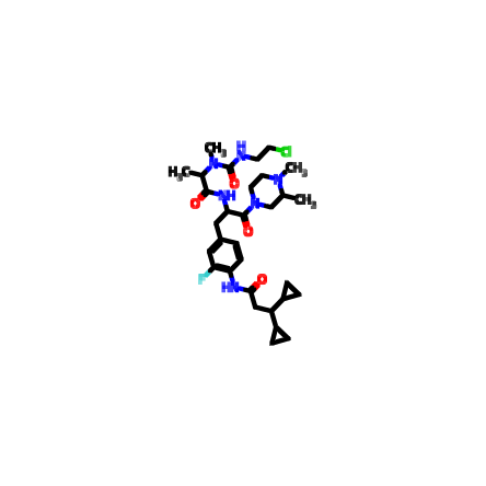 CC1CN(C(=O)C(Cc2ccc(NC(=O)CC(C3CC3)C3CC3)c(F)c2)NC(=O)C(C)N(C)C(=O)NCCCl)CCN1C